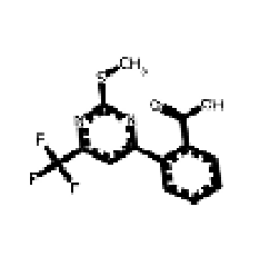 CSc1nc(-c2ccccc2C(=O)O)cc(C(F)(F)F)n1